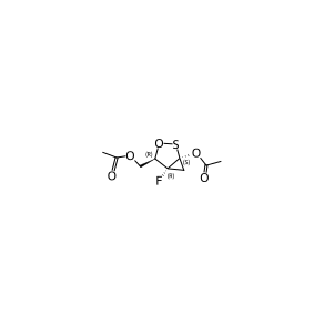 CC(=O)OC[C@H]1OS[C@@]2(OC(C)=O)C[C@@]12F